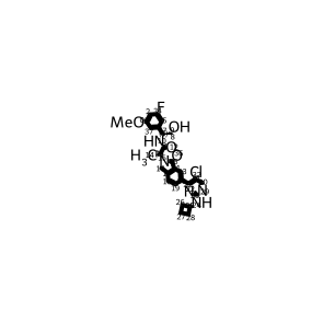 COc1cc(F)cc([C@@H](CO)NC(=O)[C@@H](C)N2Cc3ccc(-c4nc(NC5CCC5)ncc4Cl)cc3C2=O)c1